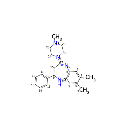 Cc1cc2c(cc1C)NC(c1ccccc1)CC(N1CCN(C)CC1)=N2